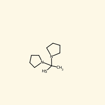 CC(S)(N1CCCC1)N1CCCC1